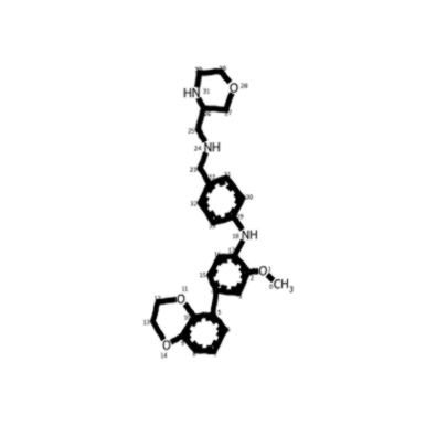 COc1cc(-c2cccc3c2OCCO3)ccc1Nc1ccc(CNCC2COCCN2)cc1